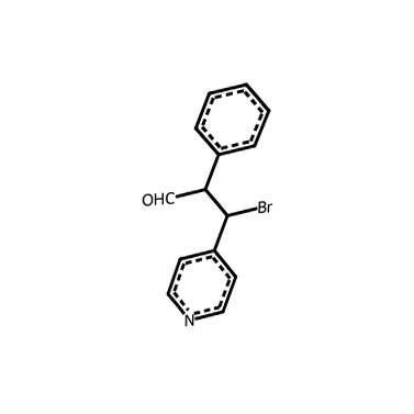 O=CC(c1ccccc1)C(Br)c1ccncc1